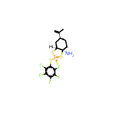 C=C(C)[C@H]1CC[C@@]2(N)S[P@@](=S)(Sc3c(F)c(F)c(F)c(F)c3F)S[C@H]2C1